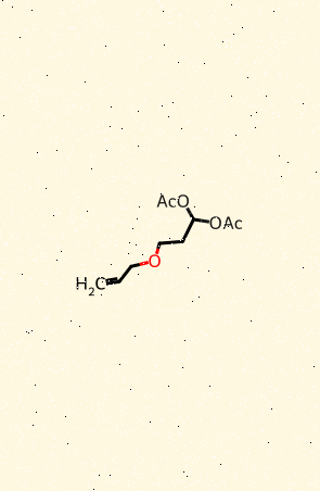 C=CCOCCC(OC(C)=O)OC(C)=O